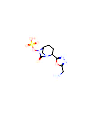 NCc1nnc(C2CCC3CN2C(=O)N3OS(=O)(=O)O)o1